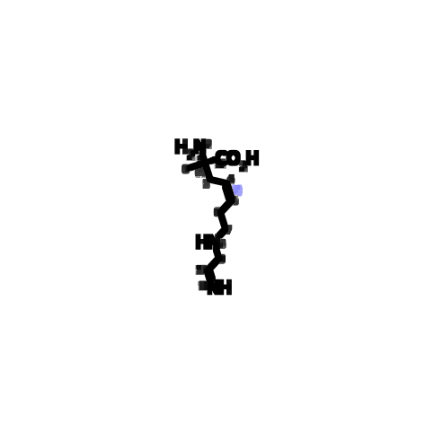 C[C@](N)(C/C=C\CCNCC=N)C(=O)O